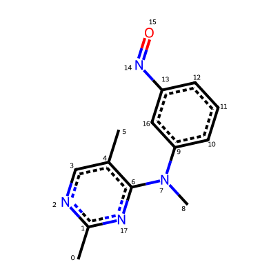 Cc1ncc(C)c(N(C)c2cccc(N=O)c2)n1